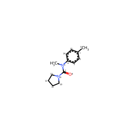 Cc1ccc(N(C)C(=O)N2CCCC2)cc1